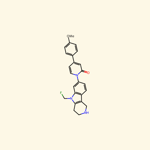 COc1ccc(-c2ccn(-c3ccc4c5c(n(CF)c4c3)CCNC5)c(=O)c2)cc1